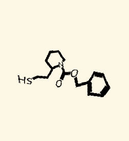 O=C(OCc1ccccc1)N1CCCCC1CCS